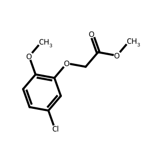 COC(=O)COc1cc(Cl)ccc1OC